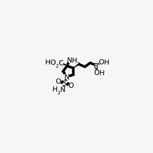 N[C@@]1(C(=O)O)CN(S(N)(=O)=O)C[C@@H]1CCCB(O)O